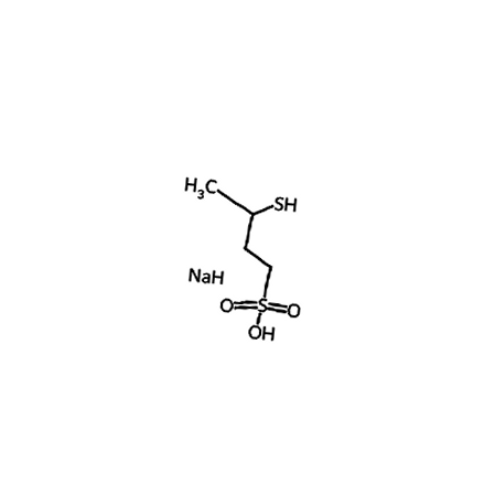 CC(S)CCS(=O)(=O)O.[NaH]